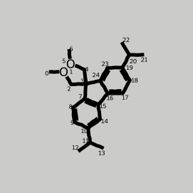 COCC1(COC)c2ccc(C(C)C)cc2-c2ccc(C(C)C)cc21